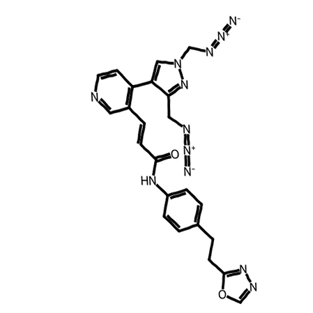 [N-]=[N+]=NCc1nn(CN=[N+]=[N-])cc1-c1ccncc1/C=C/C(=O)Nc1ccc(CCc2nnco2)cc1